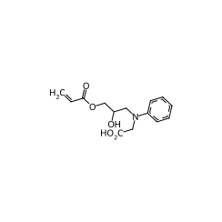 C=CC(=O)OCC(O)CN(CC(=O)O)c1ccccc1